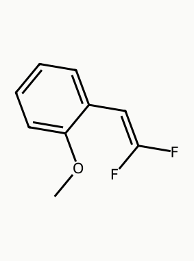 COc1ccccc1C=C(F)F